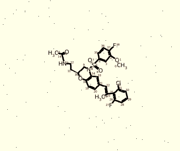 COc1cc(S(=O)(=O)N2C[C@H](CCNC(C)=O)Oc3ccc(/C=C(\C)c4c(F)cccc4Cl)cc32)ccc1F